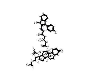 CCC(=O)OCC(=O)[C@@]1(OC(=O)CC)[C@@H](C)C[C@H]2[C@@H]3CCC4=CC(=O)C=C[C@]4(C)C3(F)[C@@H](OC(=O)C[C@@H](O)C[C@@H](O)/C=C/c3c(-c4ccc(F)cc4)c4ccccc4n3C(C)C)C[C@@]21C